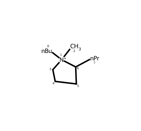 CCCC[N+]1(C)CCCC1CCC